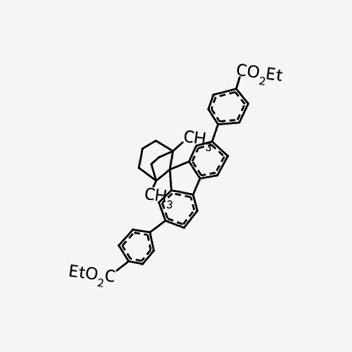 CCOC(=O)c1ccc(-c2ccc3c(c2)C2(c4cc(-c5ccc(C(=O)OCC)cc5)ccc4-3)C3(C)CCCC2(C)CC3)cc1